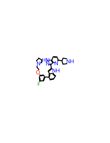 Fc1cc(OCCN2CCCC2)cc(-c2cccc3[nH]c(-c4n[nH]c5ccc(C6CCNCC6)nc45)cc23)c1